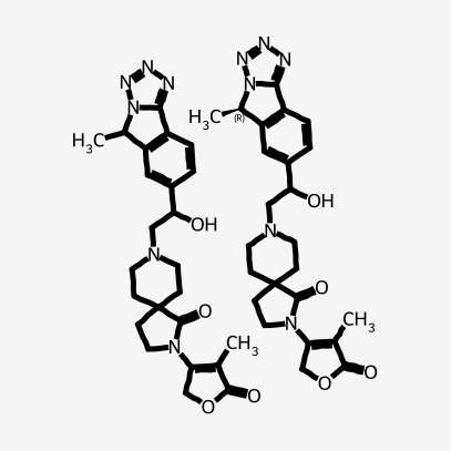 CC1=C(N2CCC3(CCN(CC(O)c4ccc5c(c4)C(C)n4nnnc4-5)CC3)C2=O)COC1=O.CC1=C(N2CCC3(CCN(CC(O)c4ccc5c(c4)[C@@H](C)n4nnnc4-5)CC3)C2=O)COC1=O